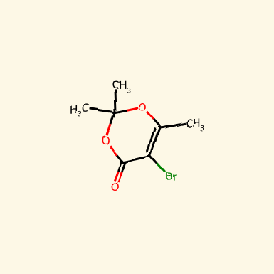 CC1=C(Br)C(=O)OC(C)(C)O1